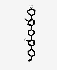 C=CC1CCC(c2ccc(C3CCC(c4ccc(C5CCC(CC)CC5)c(F)c4)CC3)c(F)c2)CC1